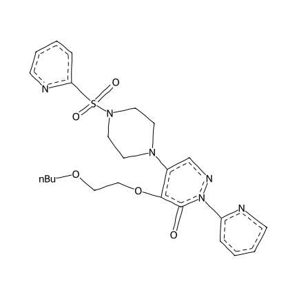 CCCCOCCOc1c(N2CCN(S(=O)(=O)c3ccccn3)CC2)cnn(-c2ccccn2)c1=O